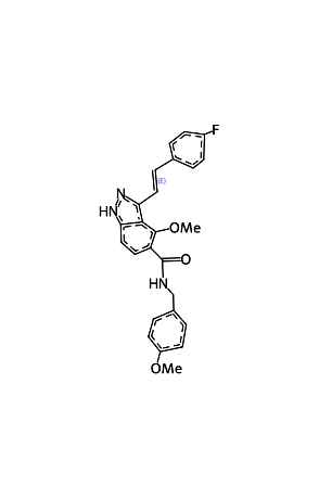 COc1ccc(CNC(=O)c2ccc3[nH]nc(/C=C/c4ccc(F)cc4)c3c2OC)cc1